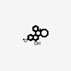 COc1ccc2c3c(cc(O)c2c1)C1CCCCCCC1(C)c1ccccc1-3